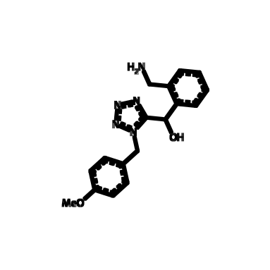 COc1ccc(Cn2nnnc2C(O)c2ccccc2CN)cc1